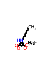 CCCCCCCCCNc1cc(C(=O)[O-])cc(C(=O)[O-])c1.[Na+].[Na+]